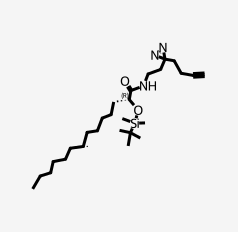 C#CCCC1(CCNC(=O)[C@@H](CCCCC[CH]CCCCCC)O[Si](C)(C)C(C)(C)C)N=N1